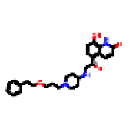 O=c1ccc2c([C@@H](O)CNC3CCN(CCCOCCc4ccccc4)CC3)ccc(O)c2[nH]1